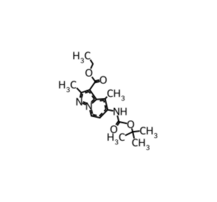 CCOC(=O)c1c(C)nn2ccc(NC(=O)OC(C)(C)C)c(C)c12